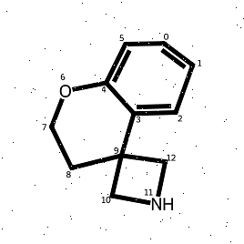 c1ccc2c(c1)OCCC21CNC1